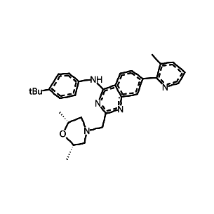 Cc1cccnc1-c1ccc2c(Nc3ccc(C(C)(C)C)cc3)nc(CN3C[C@@H](C)O[C@@H](C)C3)nc2c1